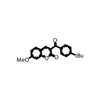 COc1ccc2cc(C(=O)c3ccc(C(C)(C)C)cc3)c(=O)oc2c1